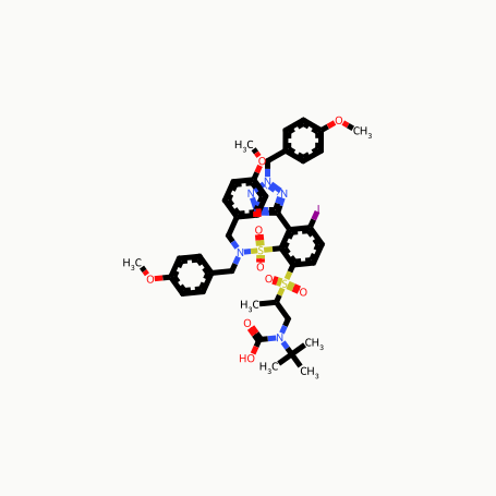 COc1ccc(CN(Cc2ccc(OC)cc2)S(=O)(=O)c2c(S(=O)(=O)C(C)CN(C(=O)O)C(C)(C)C)ccc(I)c2-c2nnn(Cc3ccc(OC)cc3)n2)cc1